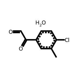 Cc1cc(C(=O)C=O)ccc1Cl.O